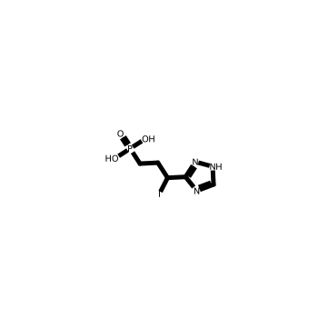 O=P(O)(O)CCC(I)c1nc[nH]n1